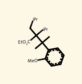 CCOC(=O)C(CC(C)C)(C(C)C)C(C)(C)c1ccccc1OC